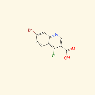 O=C(O)c1cnc2cc(Br)ccc2c1Cl